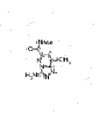 CNC(=O)c1cc(C)c2nnc(N)n2n1